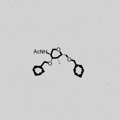 CC(=O)N[C@H]1CO[C@H](COCc2ccccc2)[C@H](C)[C@@H]1OCc1ccccc1